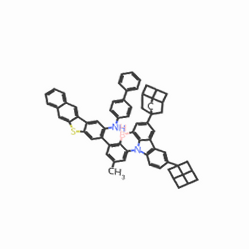 Cc1cc(-c2cc3sc4cc5ccccc5cc4c3cc2Nc2ccc(-c3ccccc3)cc2)c2c(c1)-n1c3ccc(C45CC6CC7CC(C4)C765)cc3c3cc(C45CC6CC7CC(C4)C76C5)cc(c31)B2